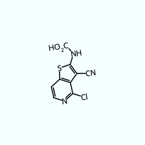 N#Cc1c(NC(=O)O)sc2ccnc(Cl)c12